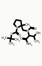 CC(O)C(C(N)=O)N(C=O)CC1(C)CCCN1C(=O)OC(C)(C)C